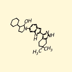 CC1(C)CCc2c(-c3cc4ccc(N5CCC(C6CCCCC6)C5O)cc4[nH]3)n[nH]c2C1